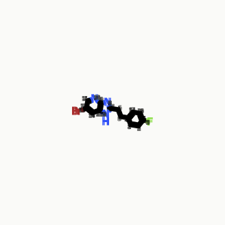 Fc1ccc(CCc2nc3ncc(Br)cc3[nH]2)cc1